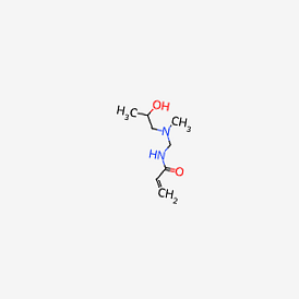 C=CC(=O)NCN(C)CC(C)O